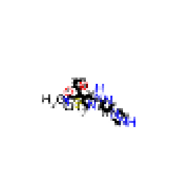 CN(C)C(=O)c1sc2cnc(Nc3ccc(N4CCNCC4)cn3)cc2c1C1CCCO1